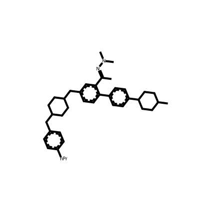 CCCc1ccc(CC2CCC(Cc3ccc(-c4ccc(C5CCC(C)CC5)cc4)c(/C(C)=N/N(C)C)c3)CC2)cc1